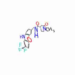 CN1CCC(C(=O)NCc2ccc3c(c2)Oc2ccc(C(F)(F)F)cc2N3)CC1=O